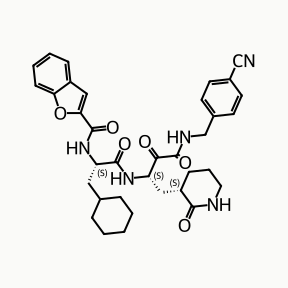 N#Cc1ccc(CNC(=O)C(=O)[C@H](C[C@@H]2CCCNC2=O)NC(=O)[C@H](CC2CCCCC2)NC(=O)c2cc3ccccc3o2)cc1